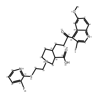 COc1ccc2ncc(F)c(C(=O)CCC3CCN(CCSc4ncccc4F)CC3C(=O)O)c2c1